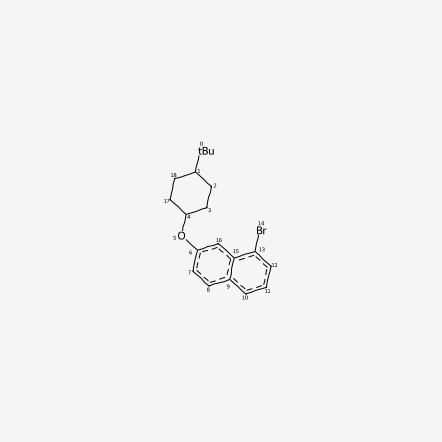 CC(C)(C)C1CCC(Oc2ccc3cccc(Br)c3c2)CC1